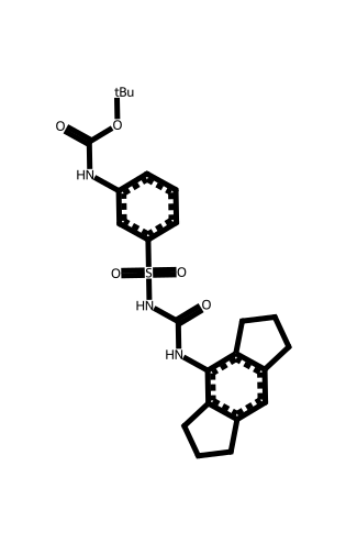 CC(C)(C)OC(=O)Nc1cccc(S(=O)(=O)NC(=O)Nc2c3c(cc4c2CCC4)CCC3)c1